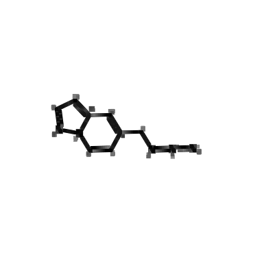 [N-]=[N+]=NCc1ccn2nccc2c1